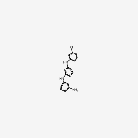 Nc1cccc(Nc2ncnc(Nc3cccc(Cl)c3)n2)c1